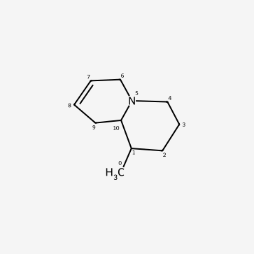 CC1CCCN2CC=CCC12